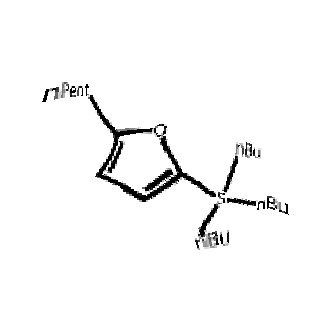 CCCCCc1ccc(S(CCCC)(CCCC)CCCC)o1